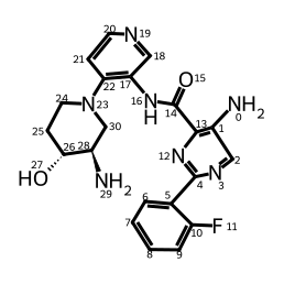 Nc1cnc(-c2ccccc2F)nc1C(=O)Nc1cnccc1N1CC[C@@H](O)[C@H](N)C1